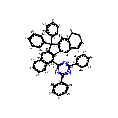 C1=Cc2cc3c(cc2CC1)C(c1ccccc1)(c1ccccc1)c1cc2ccccc2c(-c2nc(-c4ccccc4)nc(-c4ccccc4)n2)c1-3